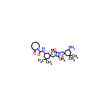 CC1(C)CC(N)CC(C)(CN2C(=O)N(CC3(C)CC(NC(=O)N4CCCCCCC4=O)CC(C)(C)C3)C2=O)C1